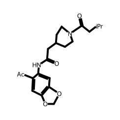 CC(=O)c1cc2c(cc1NC(=O)CC1CCN(C(=O)CC(C)C)CC1)OCO2